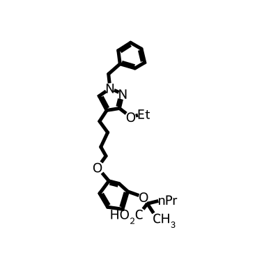 CCCC(C)(Oc1cccc(OCCCCc2cn(Cc3ccccc3)nc2OCC)c1)C(=O)O